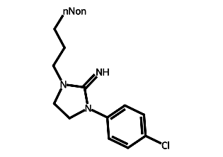 CCCCCCCCCCCCN1CCN(c2ccc(Cl)cc2)C1=N